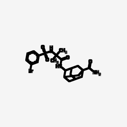 CC(C)(NS(=O)(=O)c1cccc(Br)c1)C(=O)NC1C2CC3CC1CC(C(N)=O)(C3)C2